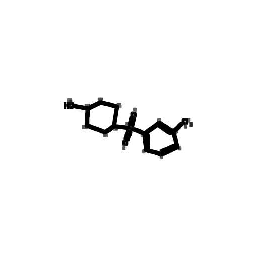 O=S(=O)(c1cccc(C(F)(F)F)c1)C1CCC(O)CC1